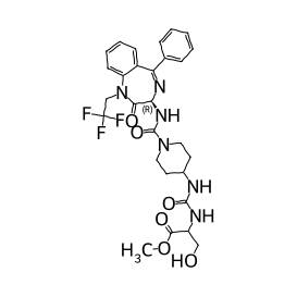 COC(=O)C(CO)NC(=O)NC1CCN(C(=O)N[C@@H]2N=C(c3ccccc3)c3ccccc3N(CC(F)(F)F)C2=O)CC1